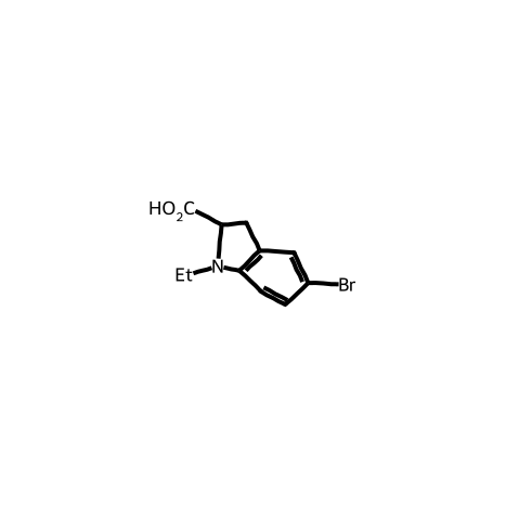 CCN1c2ccc(Br)cc2CC1C(=O)O